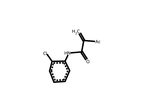 C=C(C(C)=O)C(=O)Nc1ccccc1Cl